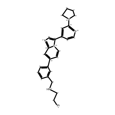 CC(C)CCNCc1cccc(-c2ccn3c(-c4ccnc(N5CCCC5)c4)cnc3c2)c1